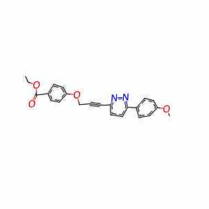 CCOC(=O)c1ccc(OCC#Cc2ccc(-c3ccc(OC)cc3)nn2)cc1